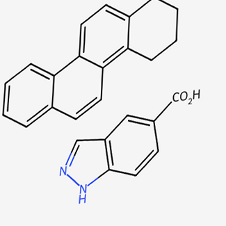 O=C(O)c1ccc2[nH]ncc2c1.c1ccc2c(c1)ccc1c3c(ccc12)CCCC3